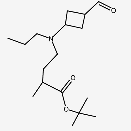 CCCN(CCC(C)C(=O)OC(C)(C)C)C1CC(C=O)C1